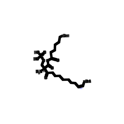 CCCCCCCC/C=C\CCCCCCCC(=O)[C@](N)(COP(=O)(O)O)C(=O)OC(=O)CCCCCCCCCCCCCCC